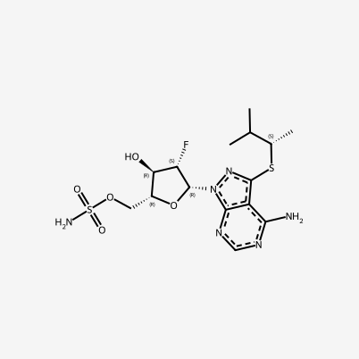 CC(C)[C@H](C)Sc1nn([C@@H]2O[C@H](COS(N)(=O)=O)[C@@H](O)[C@@H]2F)c2ncnc(N)c12